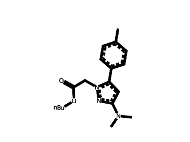 CCCCOC(=O)Cn1nc(N(C)C)cc1-c1ccc(C)cc1